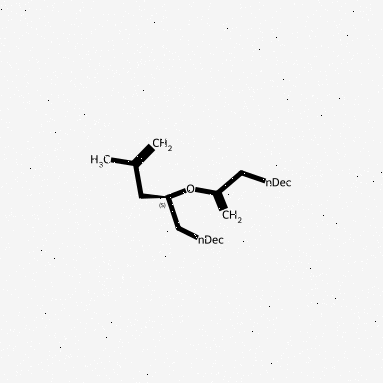 C=C(C)C[C@H](CCCCCCCCCCC)OC(=C)CCCCCCCCCCC